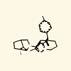 CC(=N)/C=C(\S)N1CC2CC[C@@H](C1)[C@@H]2Nc1nc2n(n1)CCCC2c1ccc(C)cc1